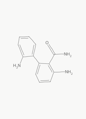 NC(=O)c1c(N)cccc1-c1ccccc1N